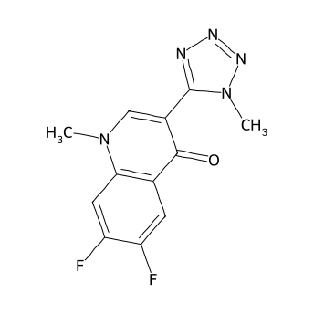 Cn1nnnc1-c1cn(C)c2cc(F)c(F)cc2c1=O